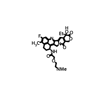 CC[C@@]1(O)C(=O)OCc2c1cc1n(c2=O)Cc2c-1nc1cc(F)c(C)c3c1c2[C@@H](NC(=O)COCCNC)CC3